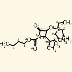 CCCCOC(=O)N1C(=O)C(O[Si](CC)(CC)CC)C1C(C)C